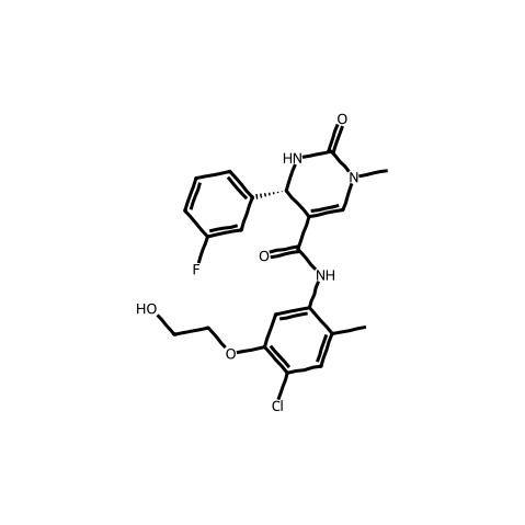 Cc1cc(Cl)c(OCCO)cc1NC(=O)C1=CN(C)C(=O)N[C@H]1c1cccc(F)c1